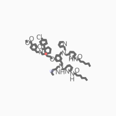 C/C=C\C(=N)CN(Cc1cc(CN(Cc2ccccn2)Cc2cccc(NC(=O)CCCCC)n2)cc(OCCCCN(Cc2ccc(C(=O)OC)cc2)C(=O)C2(c3ccc(Cl)cc3)CCCCC2)c1)Cc1cccc(NC(=O)CCCCC)n1